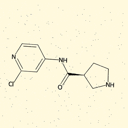 O=C(Nc1ccnc(Cl)c1)[C@H]1CCNC1